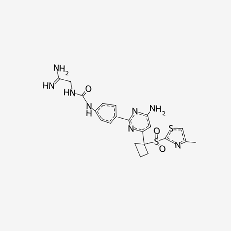 Cc1csc(S(=O)(=O)C2(c3cc(N)nc(-c4ccc(NC(=O)NCC(=N)N)cc4)n3)CCC2)n1